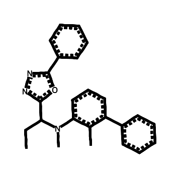 CCC(c1nnc(-c2ccccc2)o1)N(C)c1cccc(-c2ccccc2)c1C